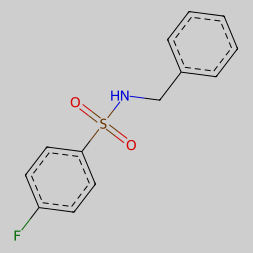 O=S(=O)(NCc1ccccc1)c1ccc(F)cc1